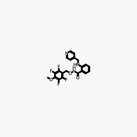 COc1c(F)c(F)c(CONC(=O)c2ccccc2NCc2ccncc2)c(F)c1F